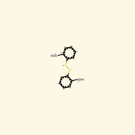 CCCCCCCCCCc1ccccc1SSc1ccccc1CCCCCCCCCC